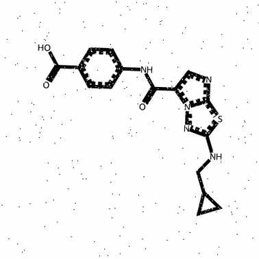 O=C(O)c1ccc(NC(=O)c2cnc3sc(NCC4CC4)nn23)cc1